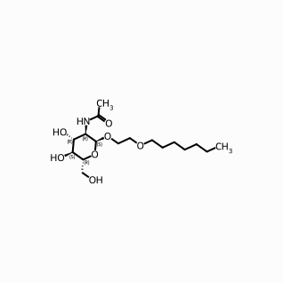 CCCCCCCOCCO[C@H]1O[C@H](CO)[C@@H](O)[C@H](O)[C@H]1NC(C)=O